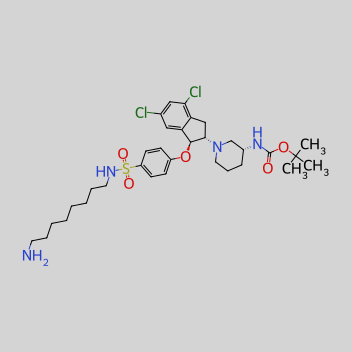 CC(C)(C)OC(=O)N[C@@H]1CCCN([C@H]2Cc3c(Cl)cc(Cl)cc3[C@@H]2Oc2ccc(S(=O)(=O)NCCCCCCCCN)cc2)C1